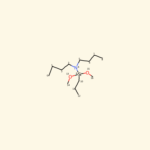 CCCCN(CCCC)[Si](CCC)(OC)OC